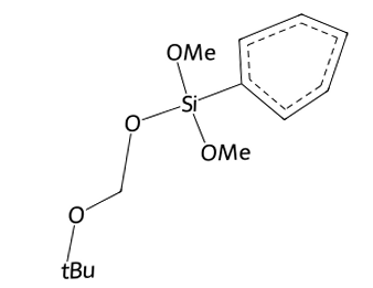 CO[Si](OC)(OCOC(C)(C)C)c1ccccc1